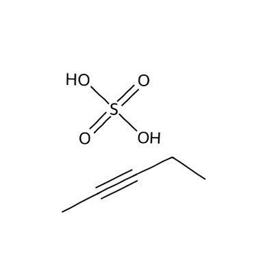 CC#CCC.O=S(=O)(O)O